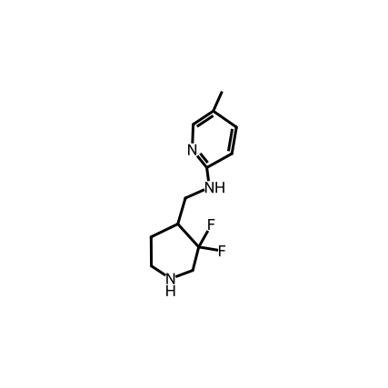 Cc1ccc(NCC2CCNCC2(F)F)nc1